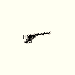 CCCCCCCCCCCC(F)Cc1c[nH]c(C(=O)OCC)c1F